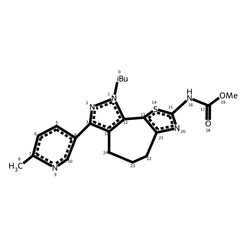 CCC(C)n1nc(-c2ccc(C)nc2)c2c1-c1sc(NC(=O)OC)nc1CCC2